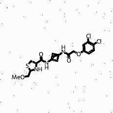 COCC1NC(C(=O)NC23CC(NC(=O)COc4ccc(Cl)c(Cl)c4)(C2)C3)CS1